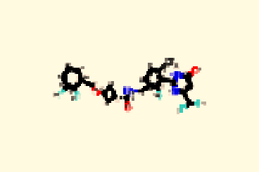 O=c1cc(C(F)F)nc(-c2c(C(F)(F)F)ccc(CNC(=O)[C@H]3C[C@H](OCc4cccc(F)c4F)C3)c2F)[nH]1